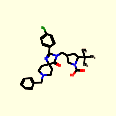 CC(C)(C)C1CC(CN2C(=O)C3(CCN(Cc4ccccc4)CC3)N=C2c2ccc(Br)cc2)CN1C(=O)O